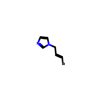 CCC=CCn1ccnc1